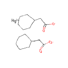 O=C([O-])CC1CCCCC1.O=C([O-])CC1CCCCC1.[Hg+2]